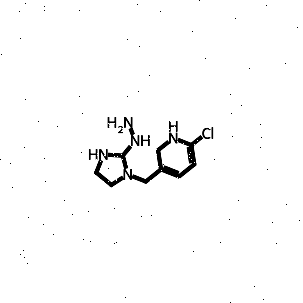 NNC1NCCN1CC1=CC=C(Cl)NC1